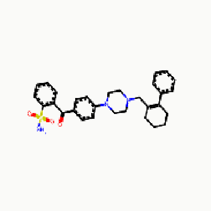 NS(=O)(=O)c1ccccc1C(=O)c1ccc(N2CCN(CC3=C(c4ccccc4)CCCC3)CC2)cc1